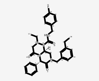 O=C1[C@H](c2ccccc2)N2C(=O)CN(CI)N(C(=O)NCc3ccc(F)cc3)[C@H]2CN1Cc1cccc(CI)c1